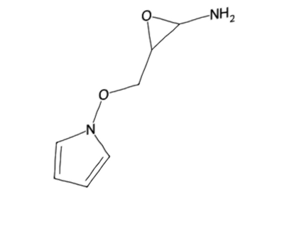 NC1OC1COn1cccc1